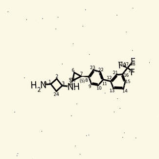 NC1CC(N[C@@H]2C[C@H]2c2ccc(-c3cccc(C(F)(F)F)c3)cc2)C1